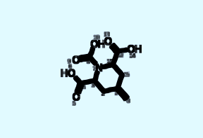 C=C1CC(C(=O)O)N(C(=O)O)C(C(=O)O)C1